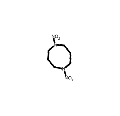 O=[N+]([O-])N1CCCN([N+](=O)[O-])CCC1